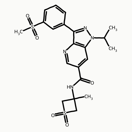 CC(C)n1nc(-c2cccc(S(C)(=O)=O)c2)c2ncc(C(=O)NC3(C)CS(=O)(=O)C3)cc21